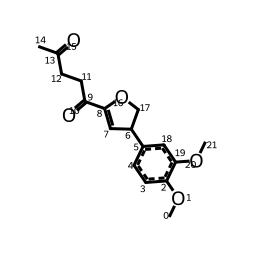 COc1ccc(C2C=C(C(=O)CCC(C)=O)OC2)cc1OC